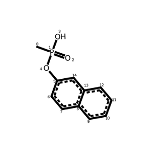 CP(=O)(O)Oc1ccc2ccccc2c1